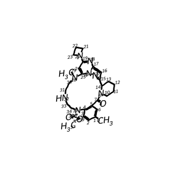 Cc1ccc2c(c1)C(=O)N1CCCCC1c1cc3nc(N4CCC4)cc(n3n1)N(C)CCNCCN2S(C)(=O)=O